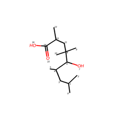 CC(C)CC(C)C(O)C(C)(C)CC(C)C(=O)O